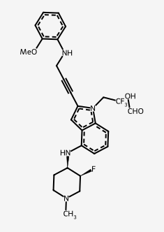 COc1ccccc1NCC#Cc1cc2c(N[C@@H]3CCN(C)C[C@@H]3F)cccc2n1CC(F)(F)F.O=CO